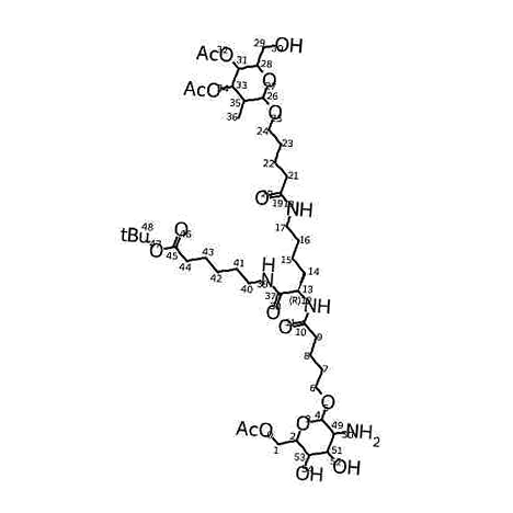 CC(=O)OCC1OC(OCCCCC(=O)N[C@H](CCCCNC(=O)CCCCOC2OC(CO)C(OC(C)=O)C(OC(C)=O)C2C)C(=O)NCCCCCC(=O)OC(C)(C)C)C(N)C(O)C1O